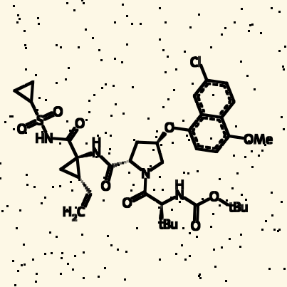 C=C[C@@H]1C[C@]1(NC(=O)[C@@H]1C[C@@H](Oc2ccc(OC)c3ccc(Cl)cc23)CN1C(=O)[C@@H](NC(=O)OC(C)(C)C)C(C)(C)C)C(=O)NS(=O)(=O)C1CC1